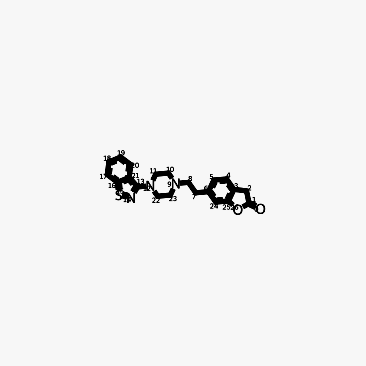 O=C1Cc2ccc(CCN3CCN(c4nsc5ccccc45)CC3)cc2O1